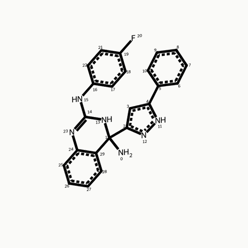 NC1(c2cc(-c3ccccc3)[nH]n2)NC(Nc2ccc(F)cc2)=Nc2ccccc21